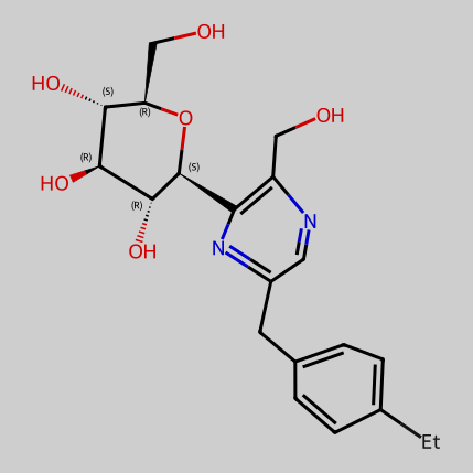 CCc1ccc(Cc2cnc(CO)c([C@@H]3O[C@H](CO)[C@@H](O)[C@H](O)[C@H]3O)n2)cc1